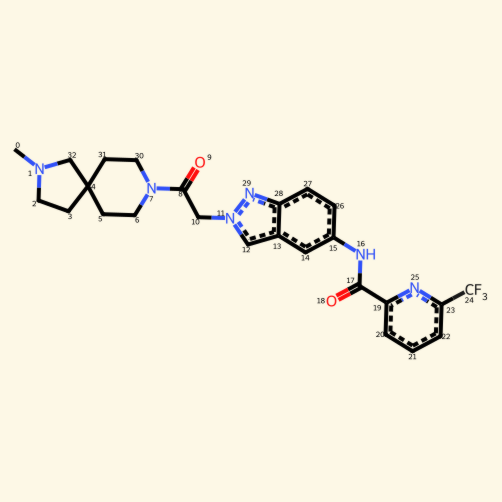 CN1CCC2(CCN(C(=O)Cn3cc4cc(NC(=O)c5cccc(C(F)(F)F)n5)ccc4n3)CC2)C1